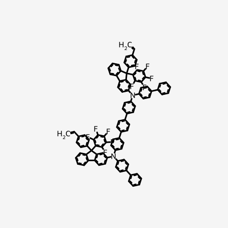 C=Cc1ccc(C2(c3c(F)c(F)c(F)c(F)c3F)c3ccccc3-c3ccc(N(c4ccc(-c5ccccc5)cc4)c4ccc(-c5ccc(-c6ccc(N(c7ccc(-c8ccccc8)cc7)c7ccc8c(c7)C(c7ccc(C=C)cc7)(c7c(F)c(F)c(F)c(F)c7F)c7ccccc7-8)cc6)cc5)cc4)cc32)cc1